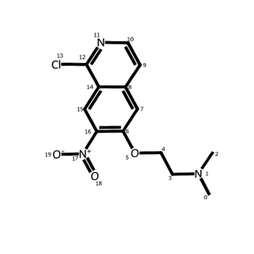 CN(C)CCOc1cc2ccnc(Cl)c2cc1[N+](=O)[O-]